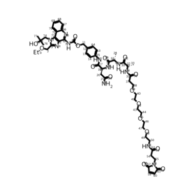 CCOCc1nc2c(NC(=O)OCc3ccc(NC(=O)[C@H](CC(N)=O)NC(=O)[C@H](C)NC(=O)[C@H](C)NC(=O)CCOCCOCCOCCOCCNC(=O)CCN4C(=O)C=CC4=O)cc3)nc3ccccc3c2n1CC(C)(C)O